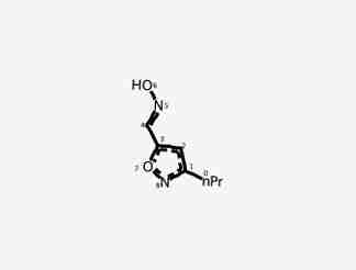 CCCc1cc(C=NO)on1